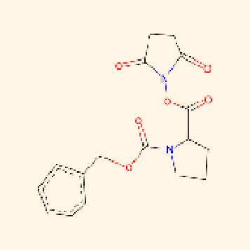 O=C(ON1C(=O)CCC1=O)C1CCCN1C(=O)OCc1ccccc1